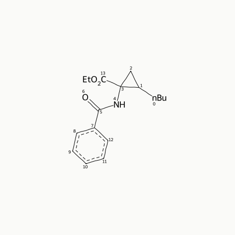 CCCCC1CC1(NC(=O)c1ccccc1)C(=O)OCC